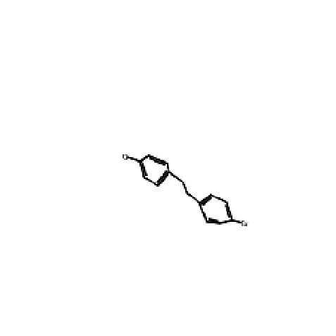 Clc1ccc([CH]Cc2ccc(Br)cc2)cc1